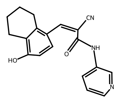 N#CC(=Cc1ccc(O)c2c1CCCC2)C(=O)Nc1cccnc1